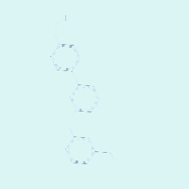 O=C(O)Cc1cccc(Oc2cccc(-c3ccc(OC(F)(F)F)cc3)c2)c1